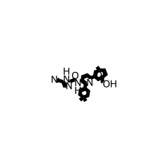 CC1(C)CC=C(c2nc(C3=CC4(C)C=CC(CO)(C3)O4)ccc2NC(=O)c2ncc(C#N)[nH]2)CC1